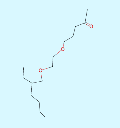 CCCCC(CC)COCCOCCCC(C)=O